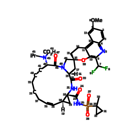 COc1ccc2nc(C(F)F)c3c(c2c1)CC[C@]1(C[C@H]2C(=O)N[C@]4(C(=O)NS(=O)(=O)C5(C)CC5)C[C@H]4/C=C\CCCCC[C@H](N(C(=O)O)C(C)C)C(=O)N2C1)O3